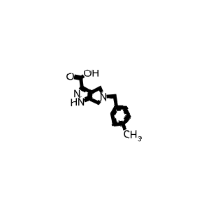 Cc1ccc(CN2Cc3[nH]nc(C(=O)O)c3C2)cc1